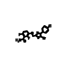 NC(=O)c1c(F)ccc(OCc2nc(-c3ccc(Cl)cc3)c(Br)s2)c1F